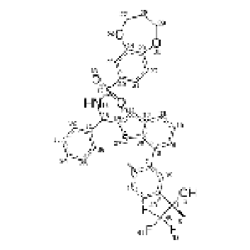 C[C@](O)(c1ccnc(-c2cccc3cc(C(NS(=O)(=O)c4ccc5c(c4)OCCCO5)c4ccccc4)sc23)c1)C(F)(F)F